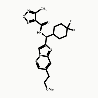 COCCc1cnn2cc([C@@H](NC(=O)c3nonc3C)C3CCC(F)(F)CC3)nc2c1